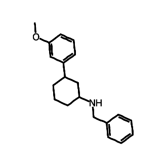 COc1cccc(C2CCCC(NCc3ccccc3)C2)c1